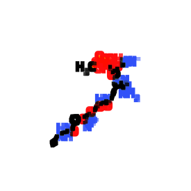 CP(O)OP(=O)(O)OP(=O)(O)OC[C@H]1O[C@@H](n2cc(C#CCNC(=O)COCCOC(COc3cccc(C(=O)NCCNCC4CCC4)c3)N=[N+]=[N-])c3c(N)ncnc32)CC1OCN=[N+]=[N-]